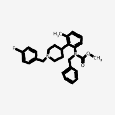 COC(=O)N(Cc1ccccc1)c1cccc(C)c1C1CCN(Cc2ccc(F)cc2)CC1